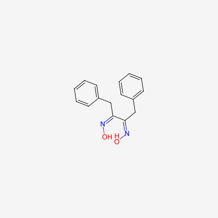 O/N=C(Cc1ccccc1)\C(Cc1ccccc1)=N/O